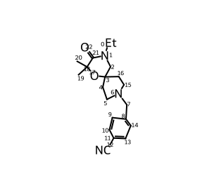 CCN1CC2(CCN(Cc3ccc(C#N)cc3)CC2)OC(C)(C)C1=O